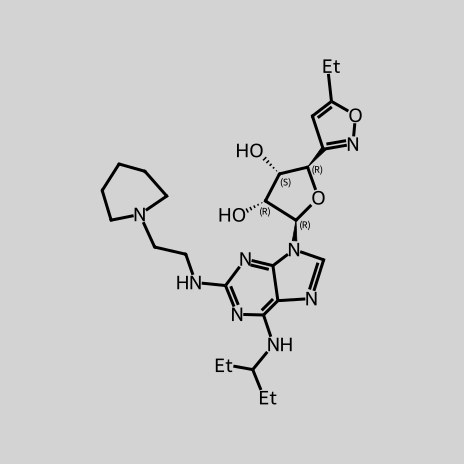 CCc1cc([C@H]2O[C@@H](n3cnc4c(NC(CC)CC)nc(NCCN5CCCCC5)nc43)[C@H](O)[C@@H]2O)no1